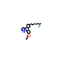 C=CCOc1ccc(-c2cc(C=CCCCC(C)F)ccc2-c2cccnn2)cc1